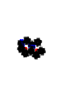 c1ccc(-c2cc(-c3cccc(-c4ncccn4)c3)nc(-c3cc(-c4cccc5c4oc4ccccc45)cc(-c4cccc5c4oc4ccccc45)c3)n2)cc1